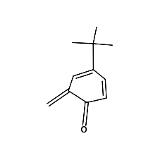 C=C1C=C(C(C)(C)C)C=CC1=O